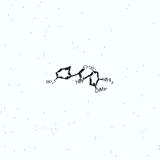 COc1cc(NC(=O)c2cccc(S(=O)(=O)O)c2)c(C)cc1N